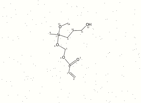 C=CC(=O)OCO[Si](C)(CCCO)OC